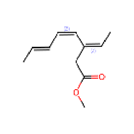 CC=C/C=C\C(=C/C)CC(=O)OC